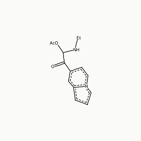 CCNC(OC(C)=O)C(=O)c1ccn2cccc2c1